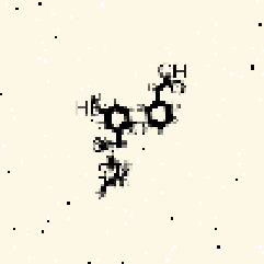 CBc1ccc(Oc2cccc(CC(=O)O)c2)c(C[S+]([O-])c2nnc(C)s2)c1